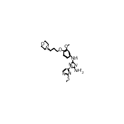 COc1cc(Nc2nc(N)n(-c3ccnc(SC)n3)n2)ccc1OCCCN1CCOCC1